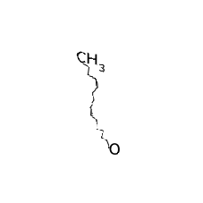 CCCC/C=C\CC/C=C\CCCCCC=O